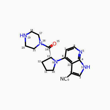 N#Cc1c[nH]c2nccc(N3CCC[C@@H]3C(=O)N3CCNCC3)c12